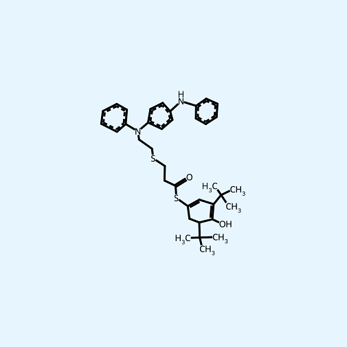 CC(C)(C)C1=C(O)C(C(C)(C)C)CC(SC(=O)CCSCCN(c2ccccc2)c2ccc(Nc3ccccc3)cc2)=C1